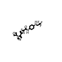 O=C(NC1CCC(NCC(F)(F)F)CC1)c1nc(-c2cncn2C2COC2)cs1